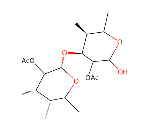 CC(=O)OC1[C@H](O[C@@H]2C(OC(C)=O)C(O)OC(C)[C@@H]2C)OC(C)[C@H](C)[C@@H]1C